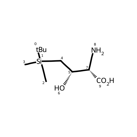 CC(C)(C)[Si](C)(C)C[C@@H](O)[C@H](N)C(=O)O